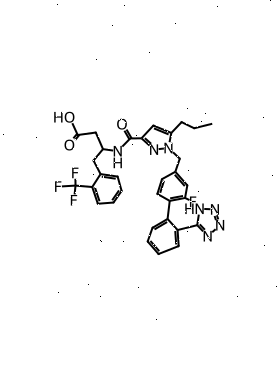 CCCc1cc(C(=O)NC(CC(=O)O)Cc2ccccc2C(F)(F)F)nn1Cc1ccc(-c2ccccc2-c2nnn[nH]2)c(F)c1